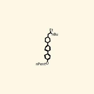 CCCCCOc1ccc(-c2ccc(C3CCC(CC(CC)CCCC)CC3)cc2)cc1